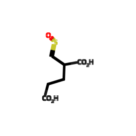 O=S=CC(CCC(=O)O)C(=O)O